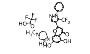 CN1CC[C@H](c2c(O)cc(O)c3c(=O)cc(-c4cnn(-c5ccccc5)c4C(F)(F)F)oc23)[C@H](O)C1.O=C(O)C(F)(F)F